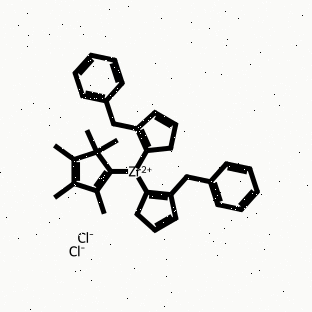 CC1=C(C)C(C)(C)[C]([Zr+2]([C]2=C(Cc3ccccc3)C=CC2)[C]2=C(Cc3ccccc3)C=CC2)=C1C.[Cl-].[Cl-]